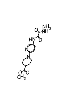 COC(=O)C1CCN(c2ccc(NC(=O)C(=O)NN)cn2)CC1